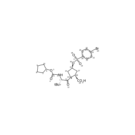 CC(C)(C)[C@H](NC(=O)OC1CCCC1)C(=O)N1C[C@@H](OS(=O)(=O)c2ccc(Br)cc2)C[C@H]1C(=O)O